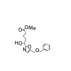 COC(=O)CCCC(O)c1ncc(COCc2ccccc2)o1